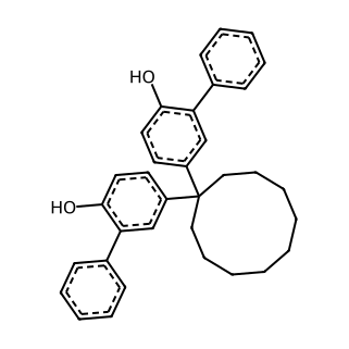 Oc1ccc(C2(c3ccc(O)c(-c4ccccc4)c3)CCCCCCCCC2)cc1-c1ccccc1